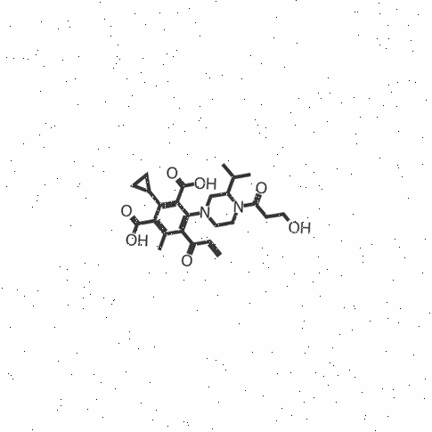 C=CC(=O)c1c(C)c(C(=O)O)c(C2CC2)c(C(=O)O)c1N1CCN(C(=O)CCO)C(C(C)C)C1